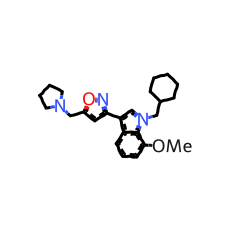 COc1cccc2c(-c3cc(CN4CCCC4)on3)cn(CC3CCCCC3)c12